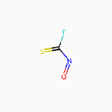 O=NC(F)=S